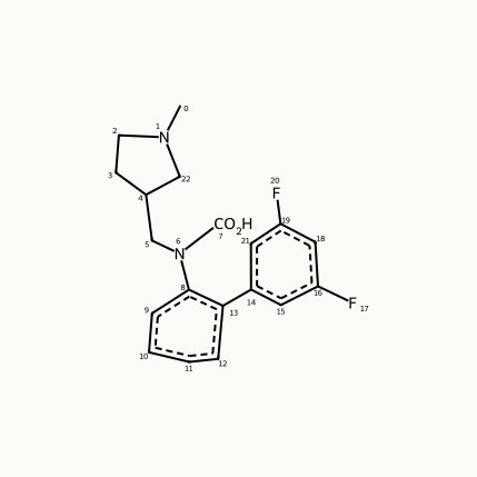 CN1CCC(CN(C(=O)O)c2ccccc2-c2cc(F)cc(F)c2)C1